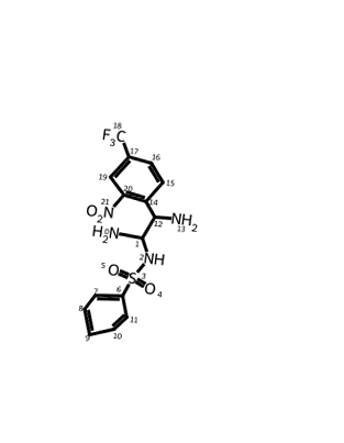 NC(NS(=O)(=O)c1ccccc1)C(N)c1ccc(C(F)(F)F)cc1[N+](=O)[O-]